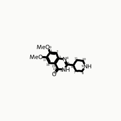 COc1cc2nc(C3CCNCC3)[nH]c(=O)c2cc1OC